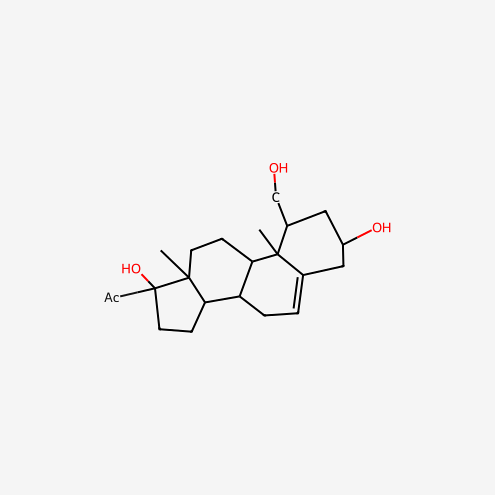 CC(=O)C1(O)CCC2C3CC=C4CC(O)CC(CO)C4(C)C3CCC21C